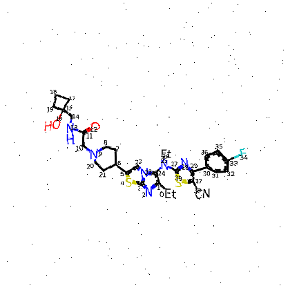 CCc1nc2sc(C3CCN(CC(=O)NCC4(O)CCC4)CC3)cn2c1N(CC)c1nc(-c2ccc(F)cc2)c(C#N)s1